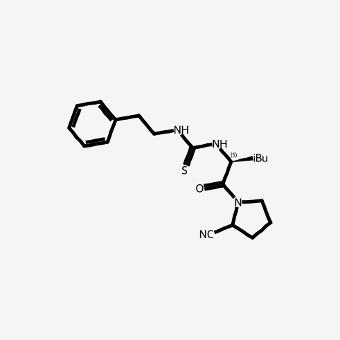 CCC(C)[C@H](NC(=S)NCCc1ccccc1)C(=O)N1CCCC1C#N